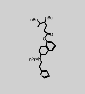 CCCCC(C)C(CCCC)CCC(=O)Oc1cccc2c1CCC(N(CCC)CCc1cccs1)C2